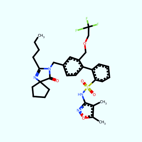 CCCCC1=NC2(CCCC2)C(=O)N1Cc1ccc(-c2ccccc2S(=O)(=O)Nc2noc(C)c2C)c(COCC(F)(F)F)c1